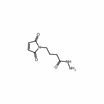 NNC(=O)CCCN1C(=O)C=CC1=O